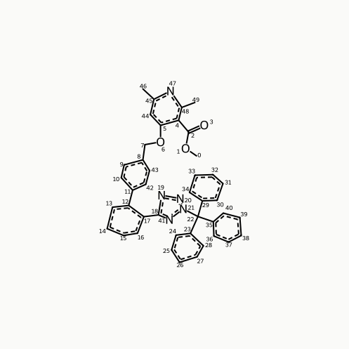 COC(=O)c1c(OCc2ccc(-c3ccccc3-c3nnn(C(c4ccccc4)(c4ccccc4)c4ccccc4)n3)cc2)cc(C)nc1C